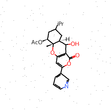 CC(=O)O[C@H]1CC(C(C)C)C[C@H]2C(O)c3c(cc(-c4cccnc4)oc3=O)O[C@]12C